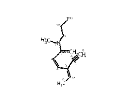 C#CC(/C=C\C(=C)N(C)CCF)=C/C